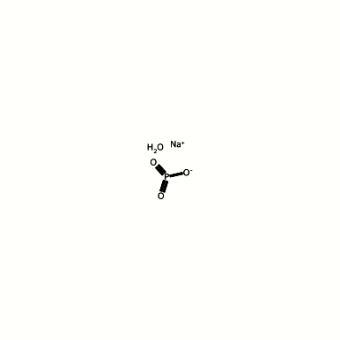 O.O=P(=O)[O-].[Na+]